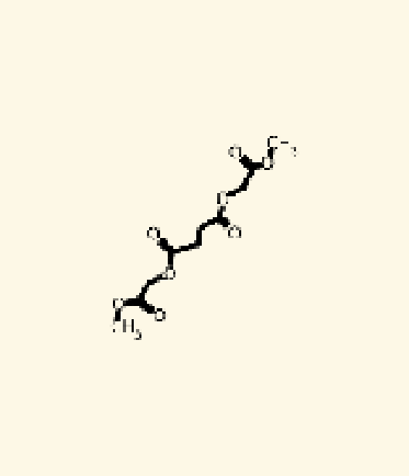 COC(=O)COC(=O)CCC(=O)OCC(=O)OC